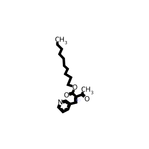 CCCCCCCCCCOC(=O)/C(=C\c1cccnc1)C(C)=O